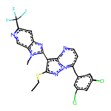 CCSc1nn2c(-c3cc(Cl)cc(Cl)c3)ccnc2c1-c1nc2cc(C(F)(F)F)ncc2n1C